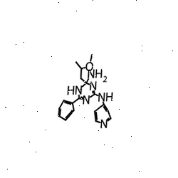 COC(C)CC1(N)N=C(Nc2ccncc2)N=C(c2ccccc2)N1